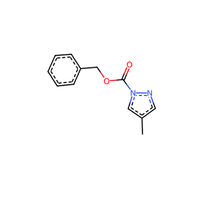 Cc1cnn(C(=O)OCc2ccccc2)c1